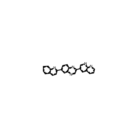 c1ccc2nc(-c3ccc4nc(-c5cnc6ncccc6c5)cnc4c3)ccc2c1